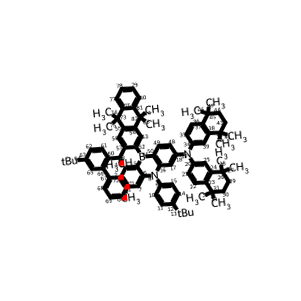 Cc1cc(C)c2c(c1)N(c1ccc(C(C)(C)C)cc1)c1cc(N(c3ccc4c(c3)C(C)(C)CCC4(C)C)c3ccc4c(c3)C(C)(C)CCC4(C)C)ccc1B2c1cc2c(cc1C(C)c1ccc(C(C)(C)C)cc1-c1ccccc1)C(C)(C)c1ccccc1C2(C)C